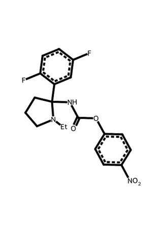 CCN1CCCC1(NC(=O)Oc1ccc([N+](=O)[O-])cc1)c1cc(F)ccc1F